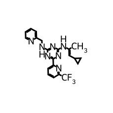 CC(=CC1CC1)Nc1nc(NCc2ccccn2)nc(-c2cccc(C(F)(F)F)n2)n1